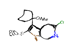 CCOC(=O)c1sc2cnc(Cl)cc2c1C1(OC)CCCC1